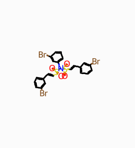 O=S(=O)(/C=C/c1cccc(Br)c1)N(c1cccc(Br)c1)S(=O)(=O)/C=C/c1cccc(Br)c1